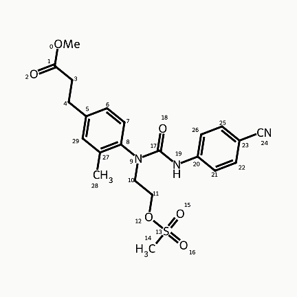 COC(=O)CCc1ccc(N(CCOS(C)(=O)=O)C(=O)Nc2ccc(C#N)cc2)c(C)c1